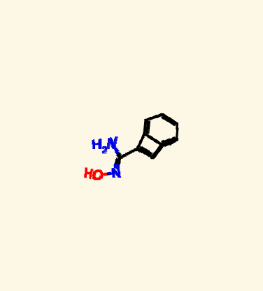 NC(=NO)C1=Cc2ccccc21